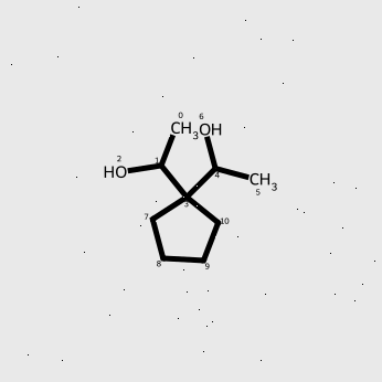 CC(O)C1(C(C)O)CCCC1